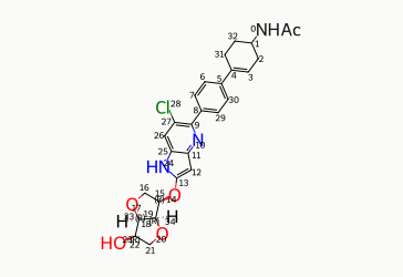 CC(=O)NC1CC=C(c2ccc(-c3nc4cc(O[C@@H]5CO[C@H]6[C@@H]5OC[C@H]6O)[nH]c4cc3Cl)cc2)CC1